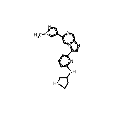 Cn1cc(-c2cn3c(-c4cccc(NC5CCNC5)n4)cnc3cn2)cn1